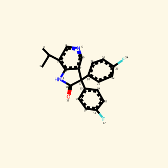 CC(C)c1cncc2c1NC(=O)C2(c1ccc(F)cc1)c1ccc(F)cc1